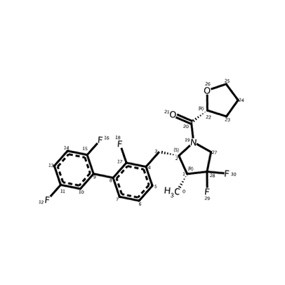 C[C@@H]1[C@H](Cc2cccc(-c3cc(F)ccc3F)c2F)N(C(=O)[C@H]2CCCO2)CC1(F)F